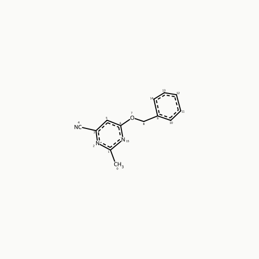 Cc1nc(C#N)cc(OCc2ccccc2)n1